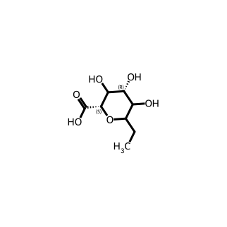 CCC1O[C@H](C(=O)O)C(O)[C@H](O)C1O